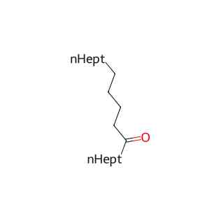 CCCCCCCCCCCC(=O)CCCCCCC